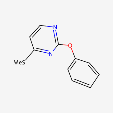 CSc1ccnc(Oc2ccccc2)n1